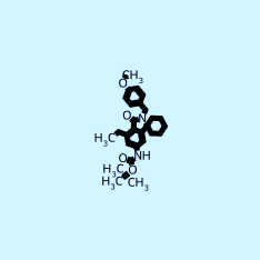 CCc1cc(NC(=O)OC(C)(C)C)cc2c1C(=O)N(Cc1ccc(OC)cc1)C21CCCCC1